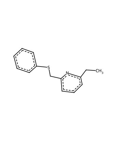 CCc1cccc(CSc2ccccc2)n1